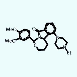 CCN1CCN(c2cccc3c2C2CCCCC(c4ccc(OC)c(OC)c4)N2C3=O)CC1